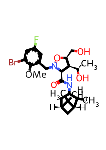 COc1c(Br)cc(F)cc1CN1O[C@@H](CO)[C@@H]([C@H](C)O)[C@H]1C(=O)NC1C[C@H]2C[C@@H]([C@@H]1C)C2(C)C